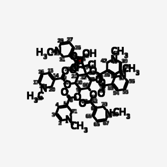 CN1C=CC=C(C(=O)OC2C(OC(=O)C3=CC=CN(C)C3)C(OC(=O)C3=CC=CN(C)C3)C(OC(=O)C3=CC=CN(C)C3)(C(Cl)(Cl)C(=O)O)C(OC(=O)C3=CC=CN(C)C3)C2OC(=O)C2=CC=CN(C)C2)C1